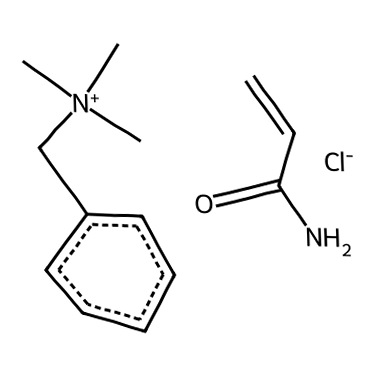 C=CC(N)=O.C[N+](C)(C)Cc1ccccc1.[Cl-]